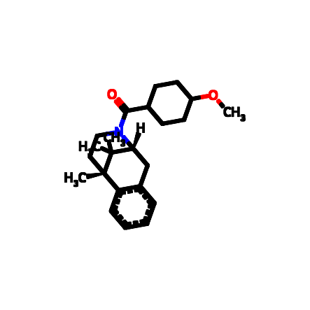 COC1CCC(C(=O)N2CC[C@@]3(C)c4ccccc4C[C@@H]2C3(C)C)CC1